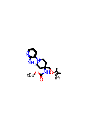 CC(C)[Si](C)(C)OCC1(NC(=O)OC(C)(C)C)CCN(c2cccnc2N)CC1